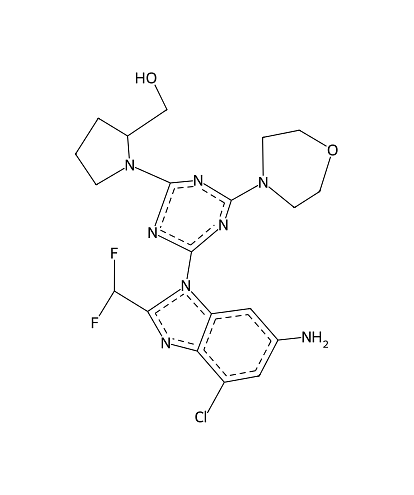 Nc1cc(Cl)c2nc(C(F)F)n(-c3nc(N4CCOCC4)nc(N4CCCC4CO)n3)c2c1